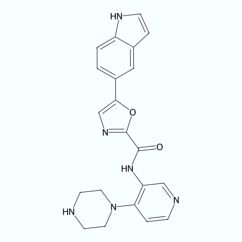 O=C(Nc1cnccc1N1CCNCC1)c1ncc(-c2ccc3[nH]ccc3c2)o1